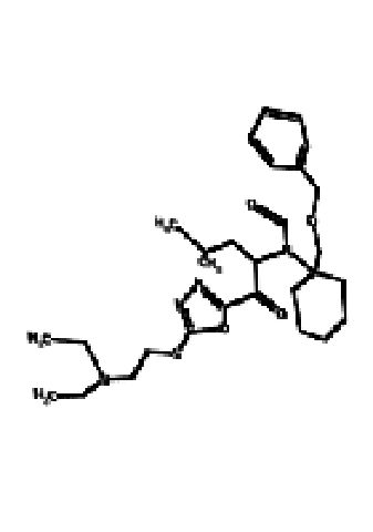 CCN(CC)CCSc1nnc(C(=O)C(CC(C)C)N(C=O)C2(COCc3ccccc3)CCCCC2)o1